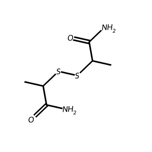 CC(SSC(C)C(N)=O)C(N)=O